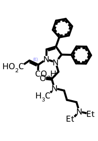 CCN(CC)CCCN(C)C(=O)CN1C(c2ccccc2)C(c2ccccc2)=CN1/C(=C/C(=O)O)C(=O)O